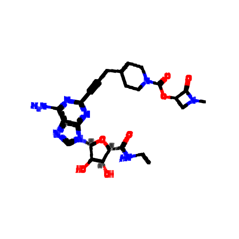 CCNC(=O)[C@H]1O[C@@H](n2cnc3c(N)nc(C#CCC4CCN(C(=O)OC5CN(C)C5=O)CC4)nc32)C(O)[C@H]1O